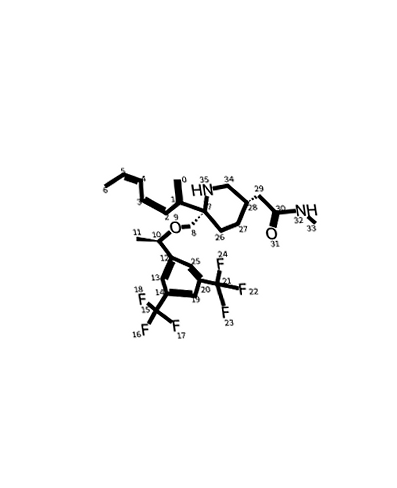 C=C(/C=C\C=C/C)[C@]1(CO[C@H](C)c2cc(C(F)(F)F)cc(C(F)(F)F)c2)CC[C@@H](CC(=O)NC)CN1